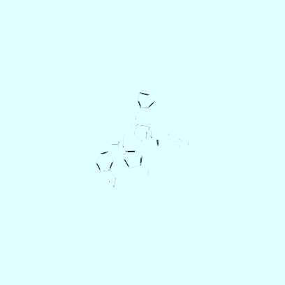 CC(C)(C)OC(=O)N1C[C@H](CN(Cc2cccc(CN)c2)c2ccc(Cl)cc2)[C@@H](Cc2ccccc2)C1